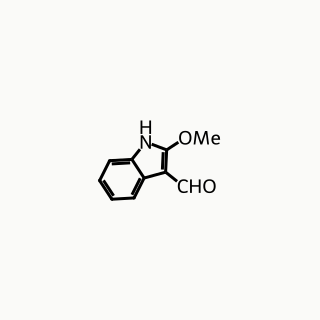 COc1[nH]c2ccccc2c1C=O